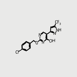 Oc1nc(OCc2ccc(Cl)cc2)ncc1-c1cc(C(F)(F)F)[nH]n1